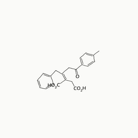 Cc1ccc(C(=O)CC(Cc2ccccc2)=C(CC(=O)O)C(=O)O)cc1